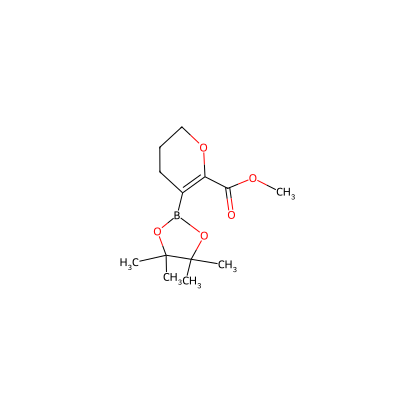 COC(=O)C1=C(B2OC(C)(C)C(C)(C)O2)CCCO1